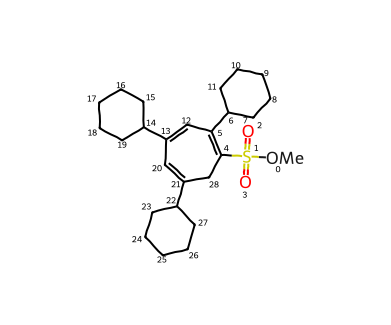 COS(=O)(=O)C1=C(C2CCCCC2)C=C(C2CCCCC2)C=C(C2CCCCC2)C1